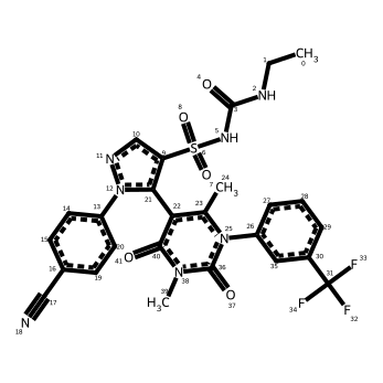 CCNC(=O)NS(=O)(=O)c1cnn(-c2ccc(C#N)cc2)c1-c1c(C)n(-c2cccc(C(F)(F)F)c2)c(=O)n(C)c1=O